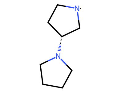 C1CCN([C@@H]2CC[N]C2)C1